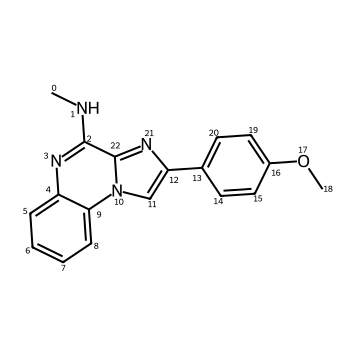 CNc1nc2ccccc2n2cc(-c3ccc(OC)cc3)nc12